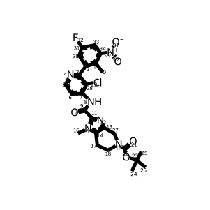 Cc1c(-c2nccc(NC(=O)c3nc4c(n3C)CCN(C(=O)OC(C)(C)C)C4)c2Cl)cc(F)cc1[N+](=O)[O-]